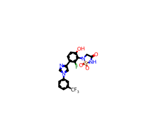 O=C1CN(c2c(O)ccc(-c3cn(-c4cccc(C(F)(F)F)c4)cn3)c2F)S(=O)(=O)N1